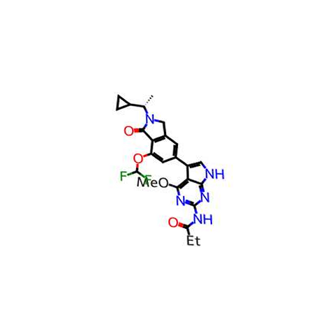 CCC(=O)Nc1nc(OC)c2c(-c3cc4c(c(OC(F)F)c3)C(=O)N([C@@H](C)C3CC3)C4)c[nH]c2n1